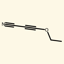 CCOC#CC#N